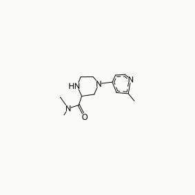 Cc1cc(N2CCNC(C(=O)N(C)C)C2)ccn1